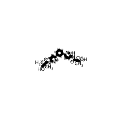 CC(C)(CO)C(=O)Nc1ccc([C@H]2CCC[C@H](c3ccc(NC(=O)C(C)(C)CO)nn3)C2)nn1